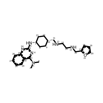 CN(C)c1nc(N[C@H]2CC[C@@H](CNCCNCc3ccco3)CC2)nc2ccccc12